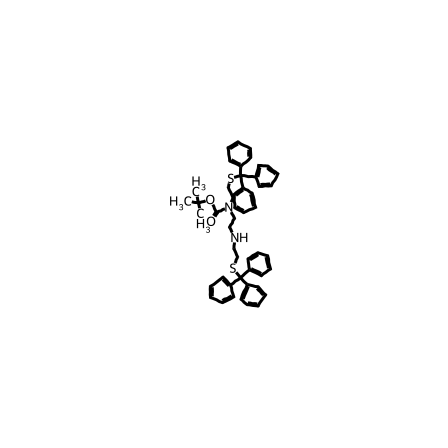 CC(C)(C)OC(=O)N(CCNCCSC(c1ccccc1)(c1ccccc1)c1ccccc1)CCSC(c1ccccc1)(c1ccccc1)c1ccccc1